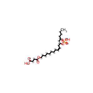 CCCCCC[C@H](C/C=C\CCCCCCCCOC(=O)CCC(=O)O)OS(=O)(=O)O